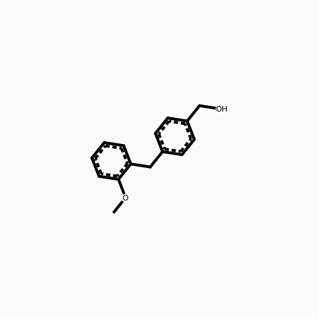 COc1ccccc1Cc1ccc(CO)cc1